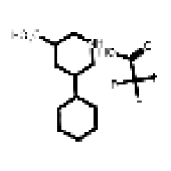 O=C(O)C(F)(F)F.O=C(O)C1CNCC(C2CCCCC2)C1